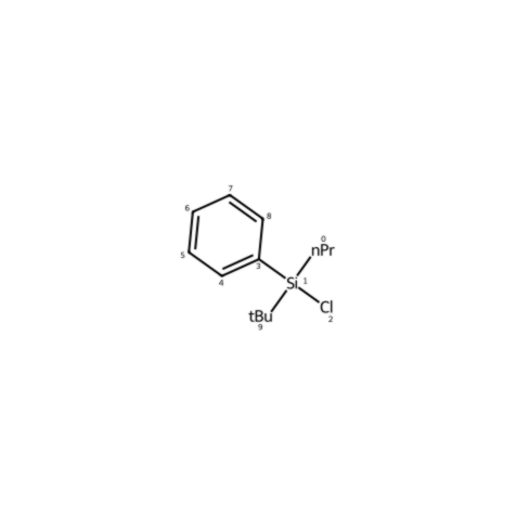 CCC[Si](Cl)(c1ccccc1)C(C)(C)C